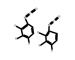 O=C=Nc1ccc(F)[c]([Ti])c1F.O=C=Nc1ccc(F)[c]([Ti])c1F